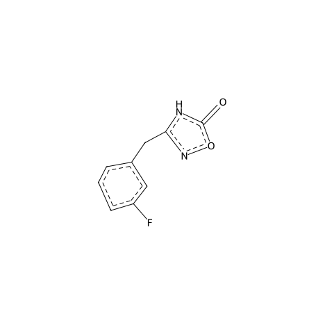 O=c1[nH]c(Cc2cccc(F)c2)no1